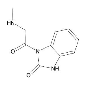 CNCC(=O)n1c(=O)[nH]c2ccccc21